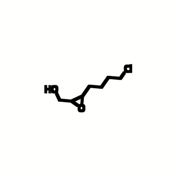 OCC1OC1CCCCCl